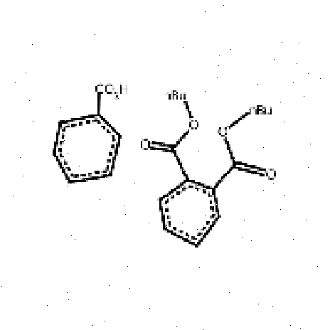 CCCCOC(=O)c1ccccc1C(=O)OCCCC.O=C(O)c1ccccc1